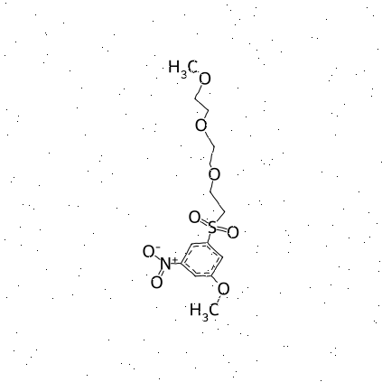 COCCOCCOCCS(=O)(=O)c1cc(OC)cc([N+](=O)[O-])c1